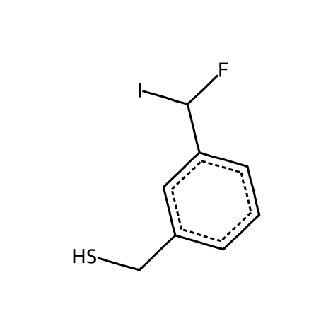 FC(I)c1cccc(CS)c1